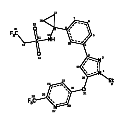 CCn1nc(-c2cccc(C3(NS(=O)(=O)CC(F)(F)F)CC3)c2)cc1Oc1ccc(C(F)(F)F)nc1